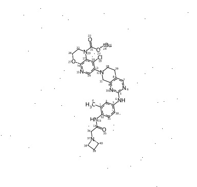 Cc1cc(Nc2ncc3c(n2)CN(c2cnc4c(c2Cl)N(C(=O)OC(C)(C)C)CCO4)CC3)ccc1NC(=O)CN1CCC1